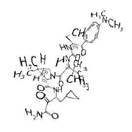 CC[C@H](NC(=O)N[C@H](C(=O)N1C[C@H]2[C@@H]([C@H]1C(=O)NC(CC1CC1)C(=O)C(N)=O)C2(C)C)C(C)(C)C)C(=O)c1ccc(N(C)C)cc1